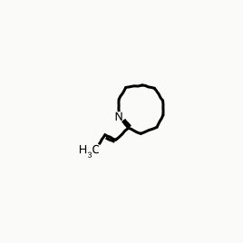 C/C=C/C1=N/CCCCCCCC1